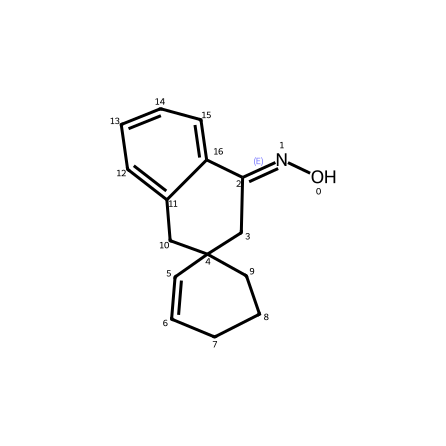 O/N=C1\CC2(C=CCCC2)Cc2ccccc21